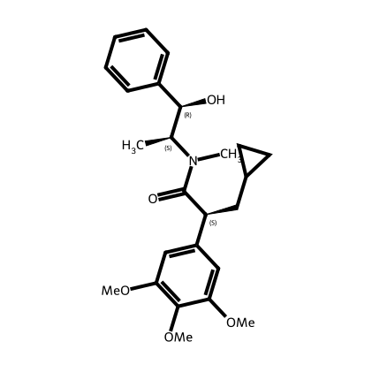 COc1cc([C@H](CC2CC2)C(=O)N(C)[C@@H](C)[C@H](O)c2ccccc2)cc(OC)c1OC